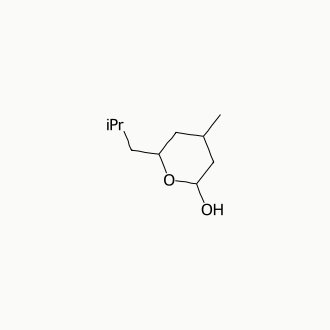 CC(C)CC1CC(C)CC(O)O1